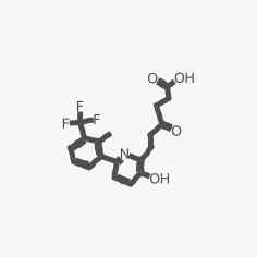 Cc1c(-c2ccc(O)c(CCC(=O)CCC(=O)O)n2)cccc1C(F)(F)F